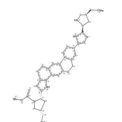 COC[C@@H]1CN[C@H](c2ncc(-c3ccc4c(c3)COc3cc5c(ccc6nc([C@@H]7C[C@H](COC)CN7C(=O)OC(C)(C)C)[nH]c65)cc3-4)[nH]2)C1